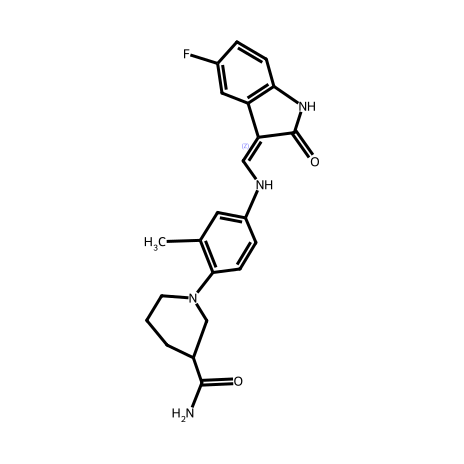 Cc1cc(N/C=C2\C(=O)Nc3ccc(F)cc32)ccc1N1CCCC(C(N)=O)C1